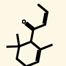 C/C=C\C(=O)C1C(C)=CCCC1(C)C